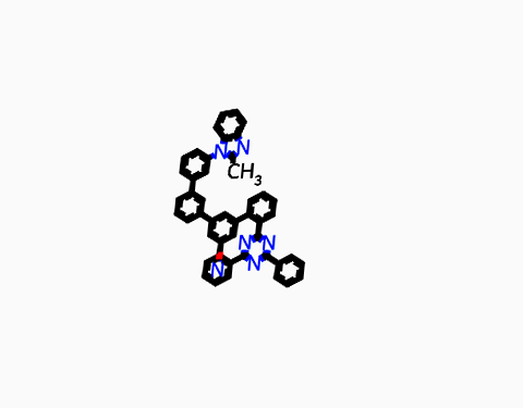 Cc1nc2ccccc2n1-c1cccc(-c2cccc(-c3cc(C#N)cc(-c4ccccc4-c4nc(-c5ccccc5)nc(-c5ccccc5)n4)c3)c2)c1